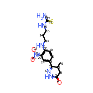 CC1CC(=O)NN=C1c1ccc(NCCCNC(N)=S)c([N+](=O)[O-])c1